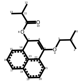 CC(C)COC1=CC(OC(=O)C(C)C)c2cccc3cccc1c23